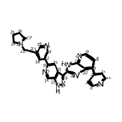 c1cc(-c2ccnc3[nH]c(-c4n[nH]c5cnc(-c6cncc(CN7CCCC7)c6)cc45)nc23)ccn1